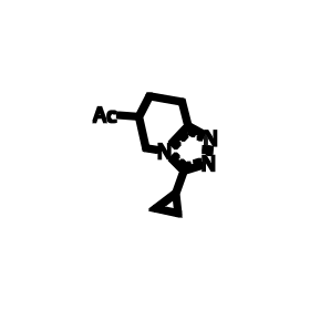 CC(=O)C1CCc2nnc(C3CC3)n2C1